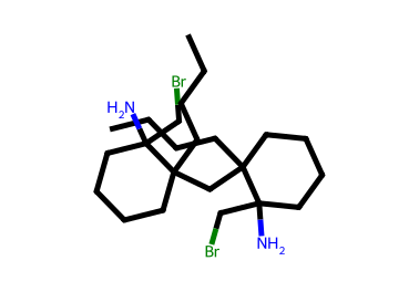 CCCCC1(CC2(CCCC)CCCCC2(N)CBr)CCCCC1(N)CBr